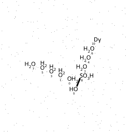 O.O.O.O.O.O.O.O.O=S(=O)(O)O.[Dy]